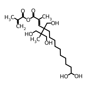 C=C(C)C(=O)OC(=O)C(C)=CC(CO)(CCCCCCCCCC(O)O)C(C)(CO)CO